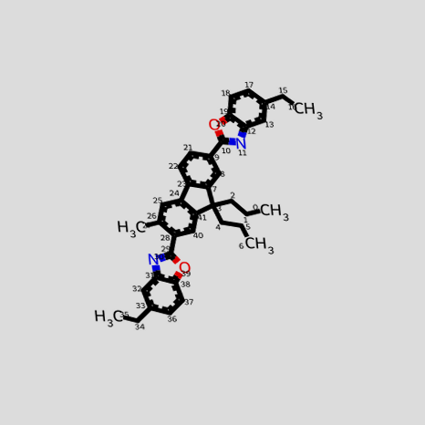 CCCC1(CCC)c2cc(-c3nc4cc(CC)ccc4o3)ccc2-c2cc(C)c(-c3nc4cc(CC)ccc4o3)cc21